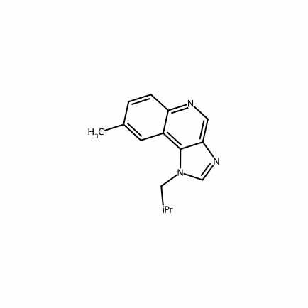 Cc1ccc2ncc3ncn(CC(C)C)c3c2c1